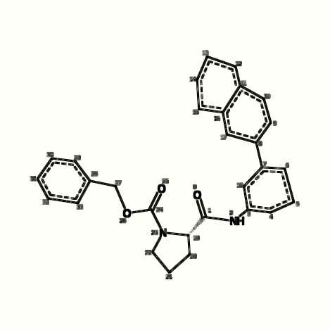 O=C(Nc1cccc(-c2ccc3ccccc3c2)c1)[C@@H]1CCCN1C(=O)OCc1ccccc1